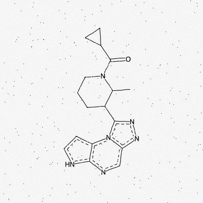 CC1C(c2nnc3cnc4[nH]ccc4n23)CCCN1C(=O)C1CC1